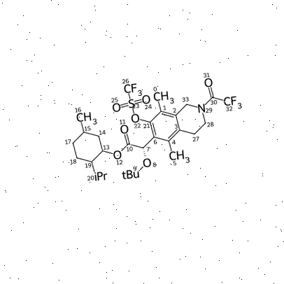 Cc1c2c(c(C)c([C@H](OC(C)(C)C)C(=O)OC3CC(C)CCC3C(C)C)c1OS(=O)(=O)C(F)(F)F)CCN(C(=O)C(F)(F)F)C2